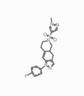 Cn1cc(S(=O)(=O)N2CCC3=Cc4c(cnn4-c4ccc(F)cc4)C[C]3C2)cn1